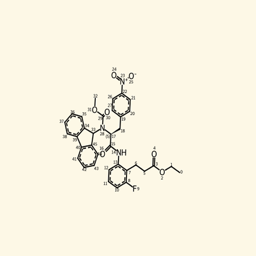 CCOC(=O)CCc1c(F)cccc1NC(=O)[C@H](Cc1ccc([N+](=O)[O-])cc1)N(C(=O)OC)C1c2ccccc2-c2ccccc21